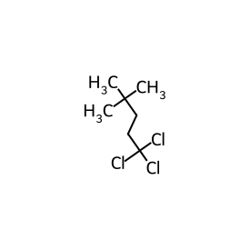 CC(C)(C)CCC(Cl)(Cl)Cl